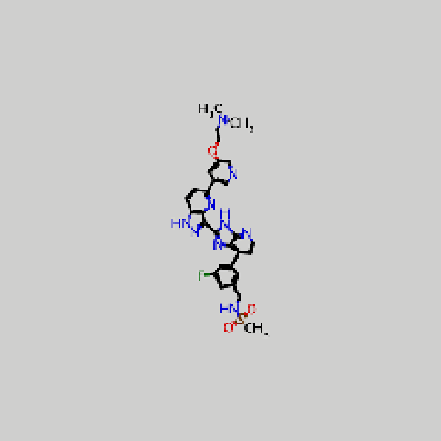 CN(C)CCOc1cncc(-c2ccc3[nH]nc(-c4nc5c(-c6cc(F)cc(CNS(C)(=O)=O)c6)ccnc5[nH]4)c3n2)c1